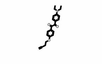 C#CCCOc1ccc(C(=O)C(=O)c2ccc(N(CC)CC)cc2)cc1